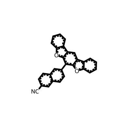 N#Cc1ccc2cc(-c3c4oc5ccccc5c4cc4c3oc3ccccc34)ccc2c1